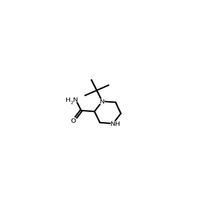 CC(C)(C)N1CCNCC1C(N)=O